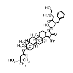 CC(C)C1=C2C(CC[C@]3(C)[C@@H]2CC[C@@H]2[C@@]4(C)CC[C@H](OC(=O)CC(C)(C)C(=O)O)C(C)(C)[C@@H]4CC[C@]23C)[C@H]([C@@H](O)CN(Cc2ccccc2)C(=O)C[C@H](O)CO)C1=O